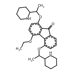 CCOc1ccc(OC(C)C2CCCCN2)c2c1-c1c(OC(C)C3CCCCN3)cccc1C2=O